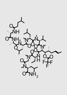 C/C=C/C[C@@H](C)[C@@H](OC(=O)C(F)(F)F)[C@@H](C(=O)N[C@@H](CC)C(=O)N(C)CC(=O)N(C)[C@@H](CC(C)C)C(N)=O)N(C)C(=O)[C@H](C(C)C)N(C)C(=O)[C@H](CC(C)C)N(C)C(=O)[C@H](CC(C)C)N(C)C(=O)[C@H](C)NC(=O)[C@H](C)NC(=O)CCC(C)C